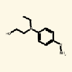 CCN(CCO)c1ccc(NN)cc1